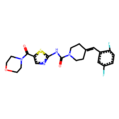 O=C(Nc1ncc(C(=O)N2CCOCC2)s1)N1CCC(=Cc2cc(F)ccc2F)CC1